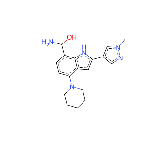 Cn1cc(-c2cc3c(N4CCCCC4)ccc(C(N)O)c3[nH]2)cn1